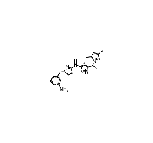 Cc1cc(C)n(C(C)c2nnc(Nc3ccn(Cc4cccc(N)c4C)n3)s2)n1